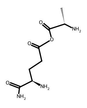 C[C@H](N)C(=O)OC(=O)CC[C@@H](N)C(N)=O